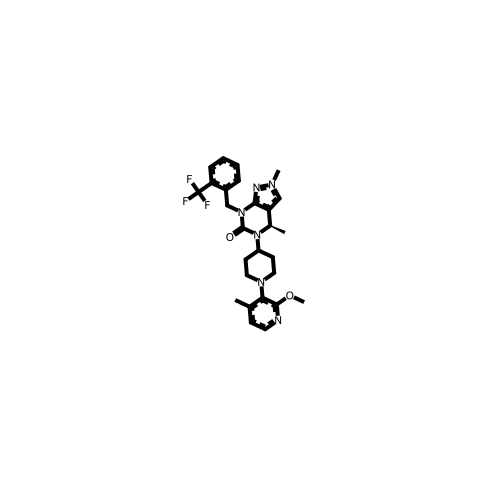 COc1nccc(C)c1N1CCC(N2C(=O)N(Cc3ccccc3C(F)(F)F)c3nn(C)cc3[C@H]2C)CC1